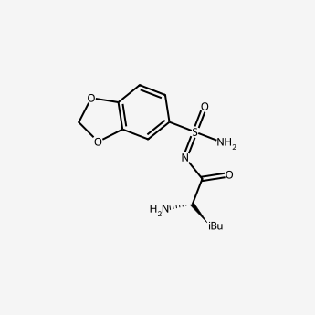 CC[C@H](C)[C@H](N)C(=O)N=S(N)(=O)c1ccc2c(c1)OCO2